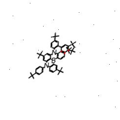 CC(C)(C)c1ccc(N2c3ccc(C(C)(C)C)cc3B3c4ccc(C(C)(C)C)cc4N(c4ccc(C(C)(C)C)cc4-c4ccc5c(c4)C(C)(C)CC5(C)C)c4cc(C(C)(C)C)cc2c43)cc1